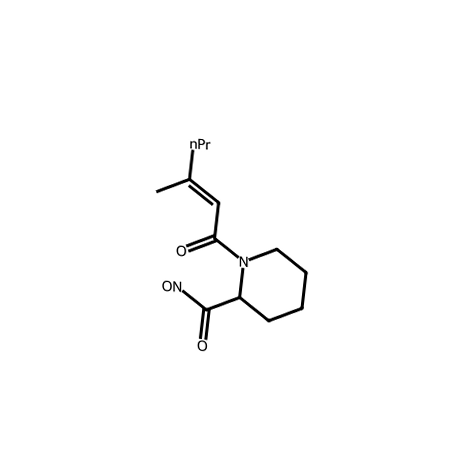 CCC/C(C)=C/C(=O)N1CCCCC1C(=O)N=O